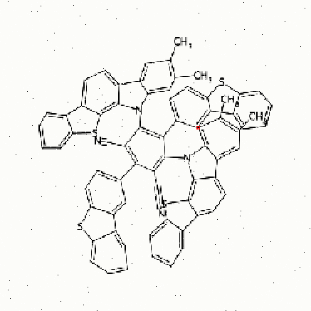 Cc1cc2c3ccc4c5ccccc5sc4c3n(-c3c(C#N)c(-c4ccc5sc6ccccc6c5c4)c(C#N)c(-n4c5cc(C)c(C)cc5c5ccc6c7ccccc7sc6c54)c3-c3ccc4sc5ccccc5c4c3)c2cc1C